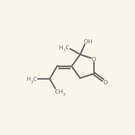 CC(C)/C=C1\CC(=O)OC1(C)O